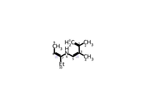 C=C(C)/C(C)=C\N/C(=C\C)CC